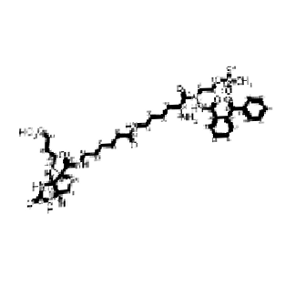 CS(=O)(=S)OCCN(NC(=O)c1ccccc1C(=O)c1ccccc1)C(=O)[C@@H](N)CCCCNC(=O)CCCCCNC(=O)[C@@]1(CCCCC(=O)O)SC[C@@H]2NC(=O)N[C@@H]21